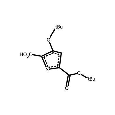 CC(C)(C)OC(=O)c1cc(OC(C)(C)C)c(C(=O)O)s1